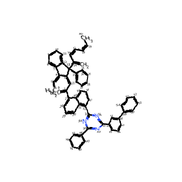 C=C(/C=C1\C(=C/C)c2ccccc2C1(C(=C)/C=C\C=C/C)c1ccccc1)c1cccc2c(-c3nc(-c4ccccc4)nc(-c4cccc(-c5ccccc5)c4)n3)cccc12